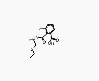 CCSCC(C)NC(=O)c1c(I)cccc1C(=O)O